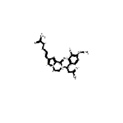 COc1ccc(C(CC(=O)O)N2CCn3cc(/C=C/CCC(C)=O)cc3C2=O)cc1F